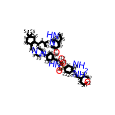 C=C(C)CCC1=C(CN2CCN(c3ccc(C(=O)NS(=O)(=O)c4ccc(NCC5CCOCC5)c(N)c4)c(Oc4cnc5[nH]ccc5c4)c3)CC2)CCC(C)(C)C1